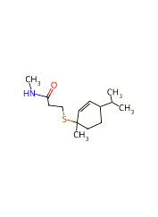 CNC(=O)CCSC1(C)C=CC(C(C)C)CC1